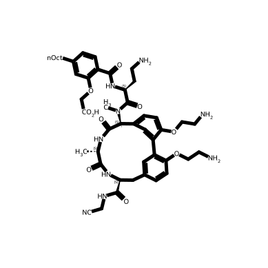 CCCCCCCCc1ccc(C(=O)N[C@@H](CCN)C(=O)N(C)[C@@H]2C(=O)N[C@@H](C)C(=O)N[C@H](C(=O)NCC#N)Cc3ccc(OCCN)c(c3)-c3cc2ccc3OCCN)c(OCC(=O)O)c1